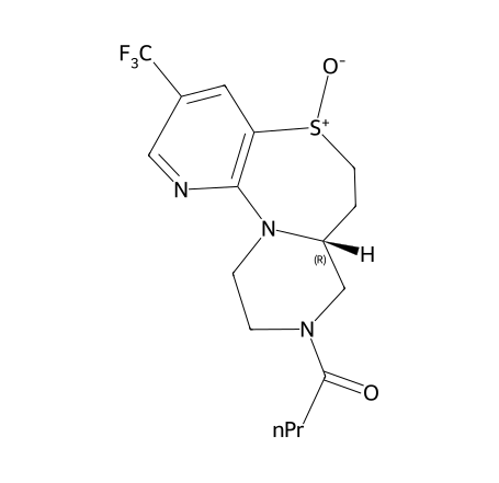 CCCC(=O)N1CCN2c3ncc(C(F)(F)F)cc3[S+]([O-])CC[C@@H]2C1